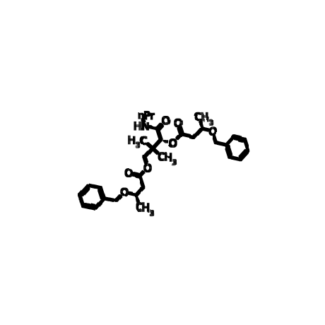 [CH2]CCNC(=O)[C@H](OC(=O)C[C@@H](C)OCc1ccccc1)C(C)(C)COC(=O)C[C@@H](C)OCc1ccccc1